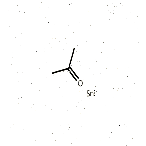 CC(C)=O.[Sn]